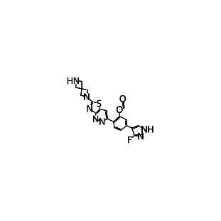 O=COc1cc(-c2c[nH]nc2F)ccc1-c1cc2sc(N3CC4(CNC4)C3)nc2nn1